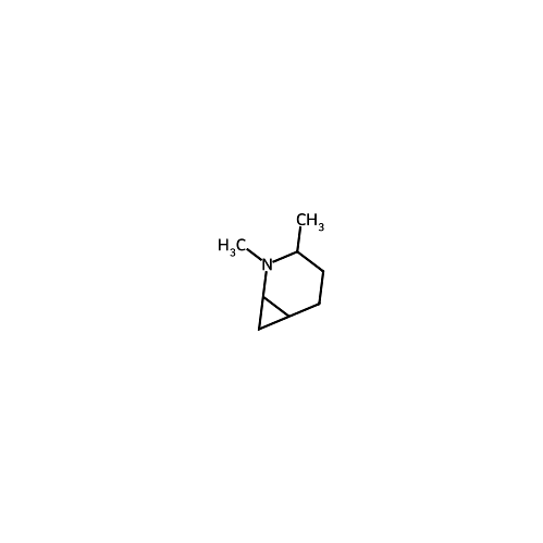 CC1CCC2CC2N1C